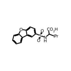 CC(C)C(NS(=O)(=O)c1ccc2oc3ccccc3c2c1)C(=O)O